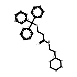 O=C(CCSC(c1ccccc1)(c1ccccc1)c1ccccc1)OCCC1CCCCC1